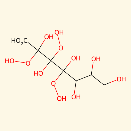 O=C(O)C(O)(OO)C(O)(OO)C(O)(OO)C(O)C(O)CO